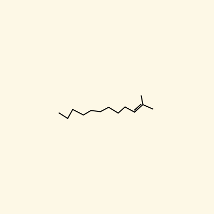 [CH2]C(C)=CCCCCCCCCC